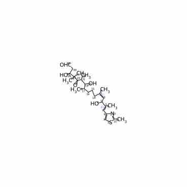 C/C(=C/C(O)/C(C)=C/c1csc(C)n1)CCCC(C)C(O)C(C)C(=O)C(C)(C)C(O)CC=O